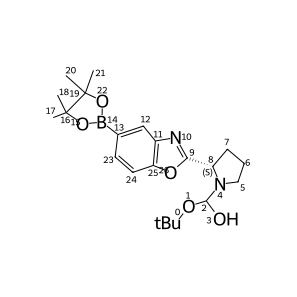 CC(C)(C)OC(O)N1CCC[C@H]1c1nc2cc(B3OC(C)(C)C(C)(C)O3)ccc2o1